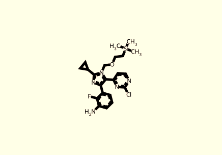 C[Si](C)(C)CCOCn1c(C2CC2)nc(-c2cccc(N)c2F)c1-c1ccnc(Cl)n1